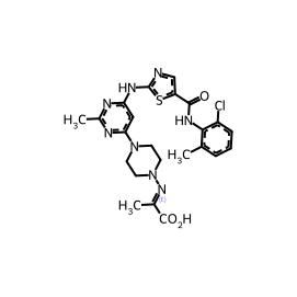 C/C(=N\N1CCN(c2cc(Nc3ncc(C(=O)Nc4c(C)cccc4Cl)s3)nc(C)n2)CC1)C(=O)O